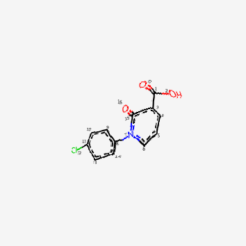 O=C(O)c1cccn(-c2ccc(Cl)cc2)c1=O